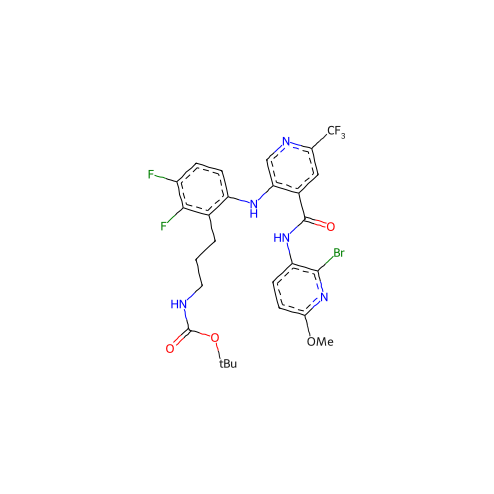 COc1ccc(NC(=O)c2cc(C(F)(F)F)ncc2Nc2ccc(F)c(F)c2CCCNC(=O)OC(C)(C)C)c(Br)n1